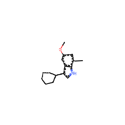 COc1cc(C)c2[nH]cc(C3CCCCC3)c2c1